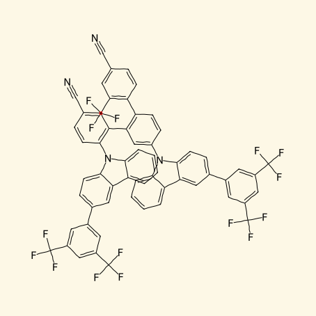 N#Cc1ccc(-n2c3ccccc3c3cc(-c4cc(C(F)(F)F)cc(C(F)(F)F)c4)ccc32)c(-c2cc(-n3c4ccccc4c4cc(-c5cc(C(F)(F)F)cc(C(F)(F)F)c5)ccc43)ccc2-c2ccc(C#N)cc2C(F)(F)F)c1